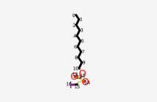 CCCCCCCCCCCOS(=O)(=O)CI